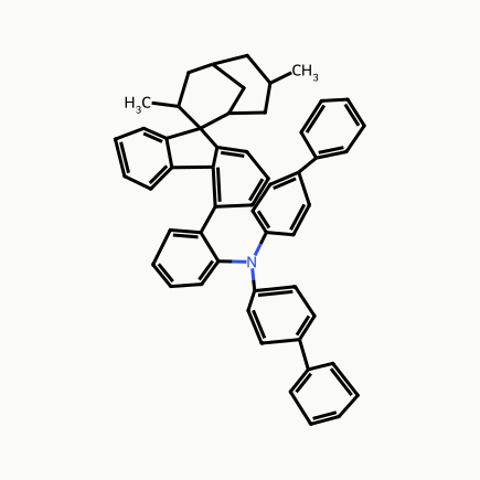 CC1CC2CC(C)C3(c4ccccc4-c4c(-c5ccccc5N(c5ccc(-c6ccccc6)cc5)c5ccc(-c6ccccc6)cc5)cccc43)C(C1)C2